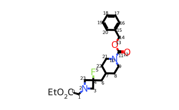 CCOC(=O)CN1CC(F)(CC2CCN(C(=O)OCc3ccccc3)CC2)C1